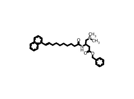 CN(C)CC(CC(=O)OCc1ccccc1)NC(=O)CCCCCCCC=Cc1cccc2ccccc12